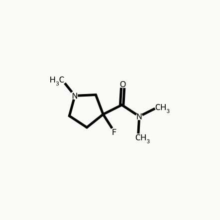 CN1CCC(F)(C(=O)N(C)C)C1